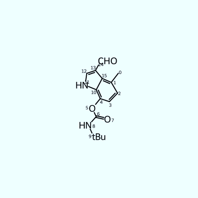 Cc1ccc(OC(=O)NC(C)(C)C)c2[nH]cc(C=O)c12